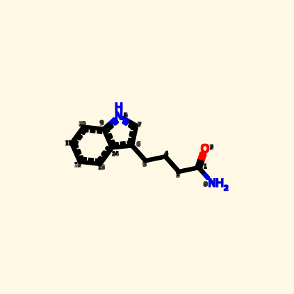 NC(=O)CCCc1c[nH]c2ccccc12